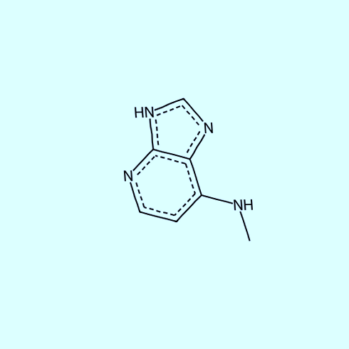 CNc1ccnc2[nH]cnc12